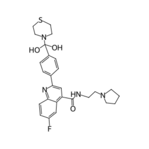 O=C(NCCN1CCCC1)c1cc(-c2ccc(C(O)(O)N3CCSCC3)cc2)nc2ccc(F)cc12